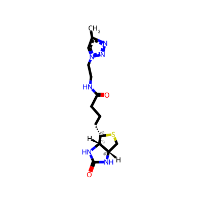 Cc1cn(CCNC(=O)CCC[C@@H]2SC[C@@H]3NC(=O)N[C@@H]32)nn1